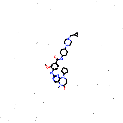 COc1cc(C(=O)NC2CCC(N3CCN(CC4CC4)CC3)CC2)ccc1Nc1ncc2c(n1)N(C1CCCC1)CCC(=O)N2C